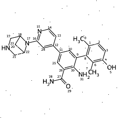 Cc1ccc(O)c(C)c1-c1cc(-c2ccnc(N3C4CNCC3C4)c2)cc(C(N)=O)c1N